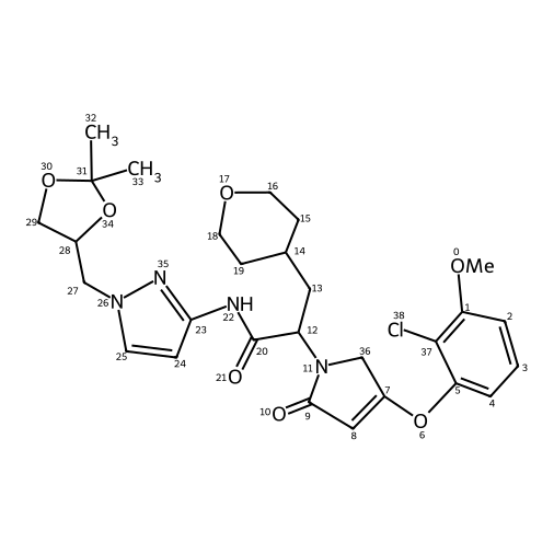 COc1cccc(OC2=CC(=O)N(C(CC3CCOCC3)C(=O)Nc3ccn(CC4COC(C)(C)O4)n3)C2)c1Cl